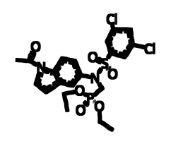 CCOP(=O)(CN(c1ccc2c(ccn2C(C)=O)c1)S(=O)(=O)c1cc(Cl)cc(Cl)c1)OCC